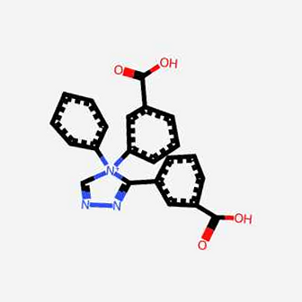 O=C(O)c1cccc(C2=NN=C[N+]2(c2ccccc2)c2cccc(C(=O)O)c2)c1